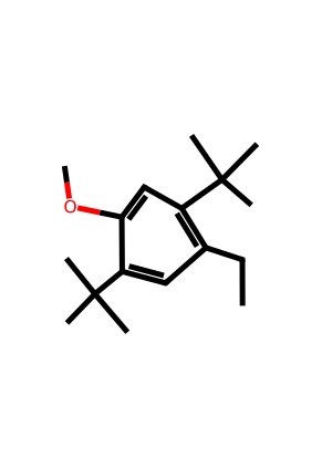 CCc1cc(C(C)(C)C)c(OC)cc1C(C)(C)C